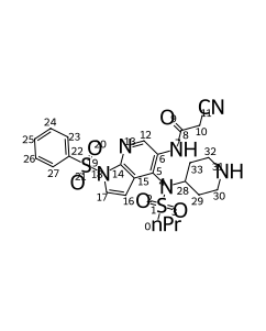 CCCS(=O)(=O)N(c1c(NC(=O)CC#N)cnc2c1ccn2S(=O)(=O)c1ccccc1)C1CCNCC1